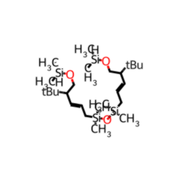 C[SiH](C)OCC(C=CC[Si](C)(C)O[Si](C)(C)CC=CC(CO[SiH](C)C)C(C)(C)C)C(C)(C)C